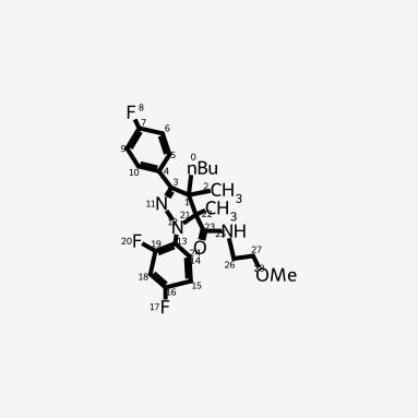 CCCCC1(C)C(c2ccc(F)cc2)=NN(c2ccc(F)cc2F)C1(C)C(=O)NCCOC